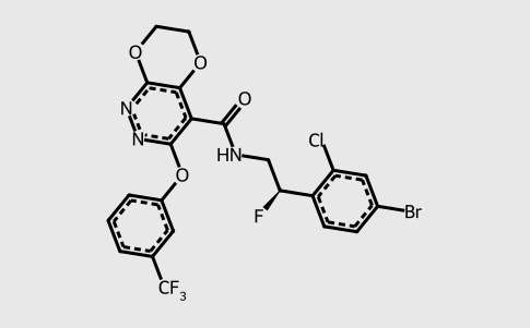 O=C(NC[C@H](F)c1ccc(Br)cc1Cl)c1c(Oc2cccc(C(F)(F)F)c2)nnc2c1OCCO2